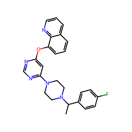 CC(c1ccc(F)cc1)N1CCN(c2cc(Oc3cccc4cccnc34)ncn2)CC1